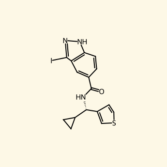 O=C(N[C@H](c1ccsc1)C1CC1)c1ccc2[nH]nc(I)c2c1